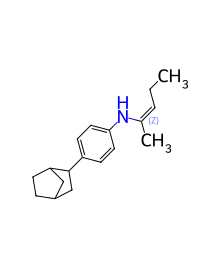 CC/C=C(/C)Nc1ccc(C2CC3CCC2C3)cc1